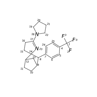 FC(F)(F)c1ccc(C2C3CCC(C3)C23CCC(N2CCCC2)=N3)cc1